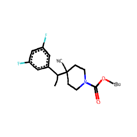 CC(c1cc(F)cc(F)c1)C1(C#N)CCN(C(=O)OC(C)(C)C)CC1